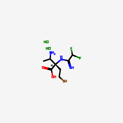 CC(N)[C@](CCS)(NC(=N)C(F)F)C(=O)O.Cl.Cl